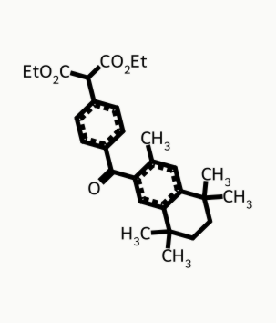 CCOC(=O)C(C(=O)OCC)c1ccc(C(=O)c2cc3c(cc2C)C(C)(C)CCC3(C)C)cc1